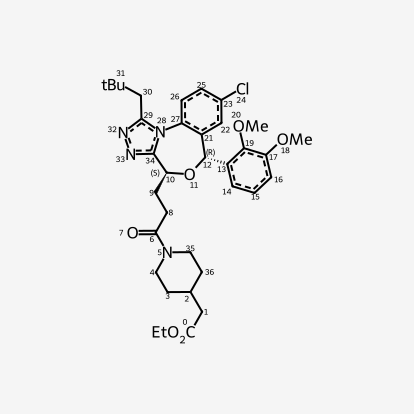 CCOC(=O)CC1CCN(C(=O)CC[C@@H]2O[C@@H](c3cccc(OC)c3OC)c3cc(Cl)ccc3-n3c(CC(C)(C)C)nnc32)CC1